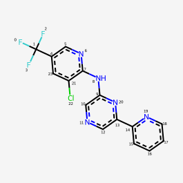 FC(F)(F)c1cnc(Nc2cncc(-c3ccccn3)n2)c(Cl)c1